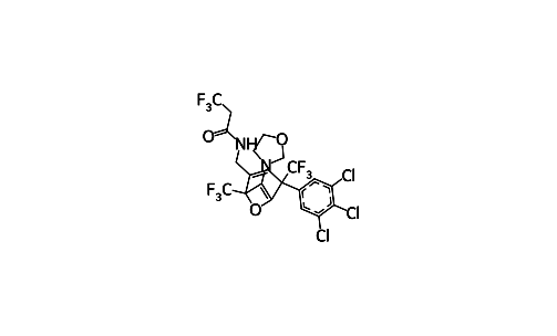 O=C(CC(F)(F)F)NCC1=CC(c2cc(Cl)c(Cl)c(Cl)c2)(C(F)(F)F)C2=C(N3CCOC3)C1(C(F)(F)F)O2